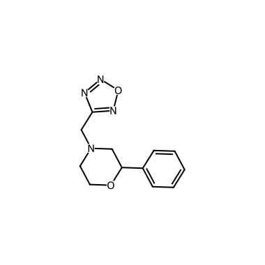 c1ccc(C2CN(Cc3nnon3)CCO2)cc1